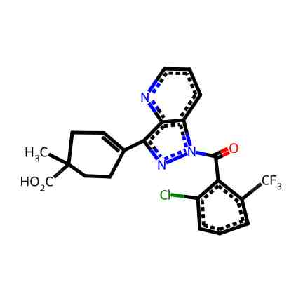 CC1(C(=O)O)CC=C(c2nn(C(=O)c3c(Cl)cccc3C(F)(F)F)c3cccnc23)CC1